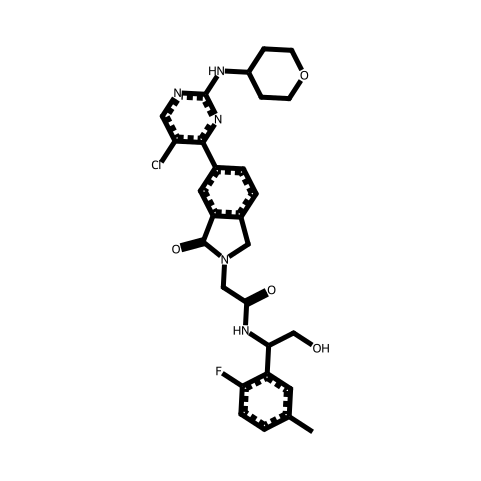 Cc1ccc(F)c(C(CO)NC(=O)CN2Cc3ccc(-c4nc(NC5CCOCC5)ncc4Cl)cc3C2=O)c1